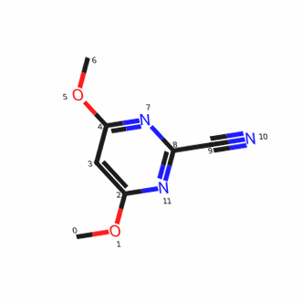 COc1cc(OC)nc(C#N)n1